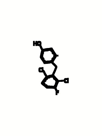 Oc1c[c]c(Cc2c(Cl)ccc(F)c2Cl)cc1